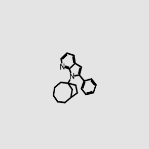 c1ccc(-c2cc3cccnc3n2C23CCCCCC(CC2)C3)cc1